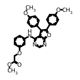 COC(=O)COc1cccc(Nc2ncnc3oc(-c4ccc(OC)cc4)c(-c4ccc(OC)cc4)c23)c1